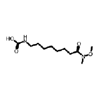 CON(C)C(=O)CCCCCCCNC(=O)O